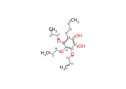 CCCCc1c(O)c(O)c(OCCC)c(OCCC)c1OCCC